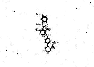 COc1ccc(CN2Cc3c(C#N)ncc(Nc4ccc(C5CNCCN5C(=O)OC(C)(C)C)cn4)c3C2=O)c(OC)c1